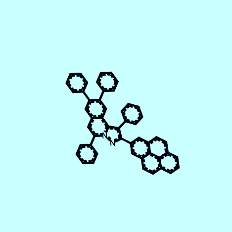 c1ccc(-c2cc3cc(-c4ccccc4)n4nc(-c5cc6ccc7cccc8ccc(c5)c6c78)c(-c5ccccc5)c4c3cc2-c2ccccc2)cc1